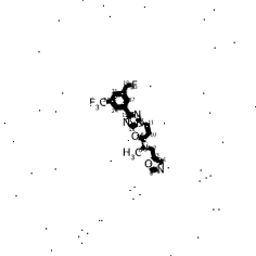 CN(Cc1cnco1)C(=O)/C=C\n1cnc(-c2cc(CF)cc(C(F)(F)F)c2)n1